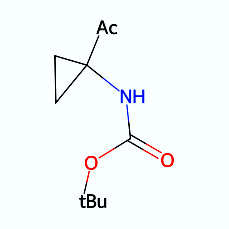 CC(=O)C1(NC(=O)OC(C)(C)C)CC1